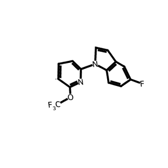 Fc1ccc2c(ccn2-c2cc[c]c(OC(F)(F)F)n2)c1